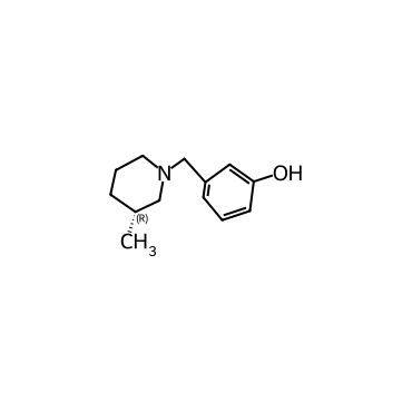 C[C@@H]1CCCN(Cc2cccc(O)c2)C1